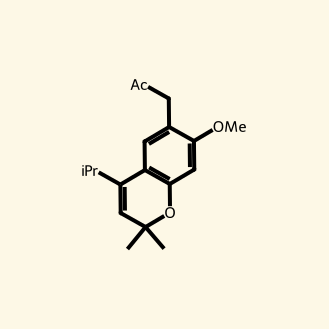 COc1cc2c(cc1CC(C)=O)C(C(C)C)=CC(C)(C)O2